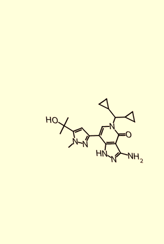 Cn1nc(-c2cn(C(C3CC3)C3CC3)c(=O)c3c(N)n[nH]c23)cc1C(C)(C)O